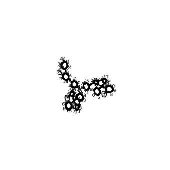 c1ccc2c(c1)Oc1ccccc1C21c2ccccc2-c2ccc(-c3ccc(N(c4ccc(-c5ccc6sc7ccccc7c6c5)cc4)c4ccc5c(c4)C4(c6ccccc6Oc6ccccc64)c4ccccc4-5)cc3)cc21